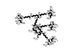 COC[C@@H]1CCCN1C(=O)CC(C)(C)C(C)CNC(=O)C(CCCCNC(=O)C(CCCCNC(=O)CCCCOC(OC(CO)[C@@H](C)O)[C@H](CO)NC(C)=O)NC(=O)CCCCOC1OC(CO)C(O)C(O)C1NC(C)=O)NC(=O)C(CCCCNC(=O)CCCCOC(OC(CO)[C@@H](C)O)[C@H](CO)NC(C)=O)NC(=O)CCCCOC(OC(CO)[C@@H](C)O)[C@H](CO)NC(C)=O